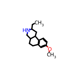 CCC1CC2c3ccc(OC)cc3CCC2CN1